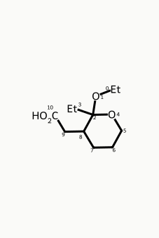 CCOC1(CC)OCCCC1CC(=O)O